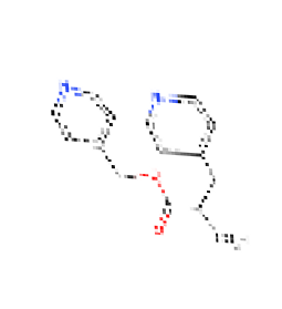 O=C(O)C(Cc1ccncc1)C(=O)OCc1ccncc1